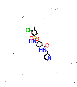 Cc1ccc(S(=O)(=O)N[C@H]2CC[C@H](C(=O)NCc3cccnc3)CC2)cc1Cl